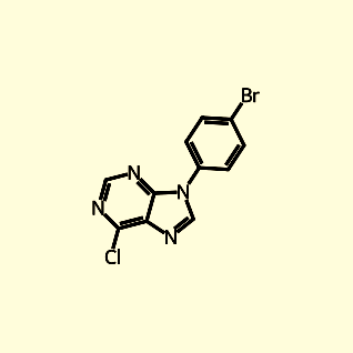 Clc1ncnc2c1ncn2-c1ccc(Br)cc1